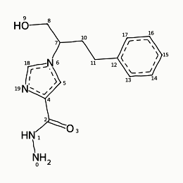 NNC(=O)c1cn(C(CO)CCc2ccccc2)cn1